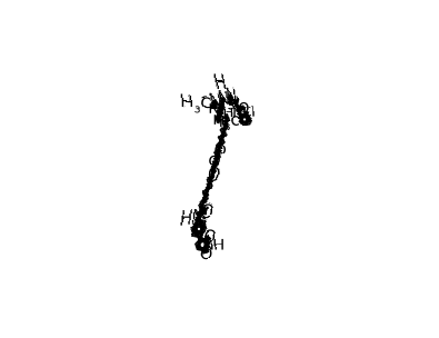 Cc1nc(Nc2ncc(C(=O)Nc3c(C)cccc3Cl)s2)cc(N2CCN(CCCCCCOCCOCCOCCCCCC(=O)Nc3ccc(C4CCC(=O)NC4=O)cc3)CC2)n1